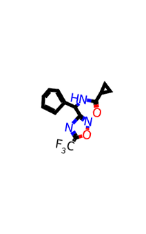 O=C(NC(c1ccccc1)c1noc(C(F)(F)F)n1)C1CC1